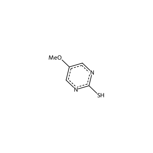 COc1cnc(S)nc1